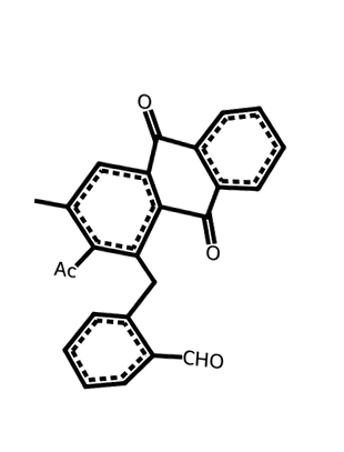 CC(=O)c1c(C)cc2c(c1Cc1ccccc1C=O)C(=O)c1ccccc1C2=O